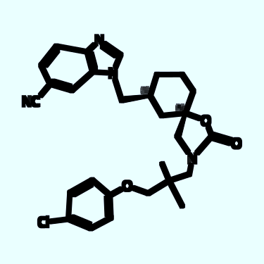 CC(C)(COc1ccc(Cl)cc1)CN1C[C@@]2(CCC[C@H](Cn3cnc4ccc(C#N)cc43)C2)OC1=O